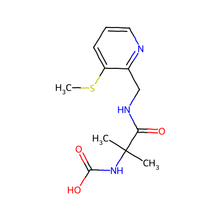 CSc1cccnc1CNC(=O)C(C)(C)NC(=O)O